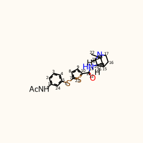 CC(=O)Nc1cccc(Sc2ccc(C(=O)N[C@@H]3C4CCN(CC4)[C@H]3C)s2)c1